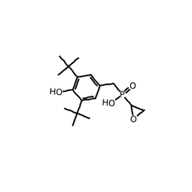 CC(C)(C)c1cc(CP(=O)(O)C2CO2)cc(C(C)(C)C)c1O